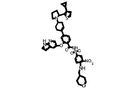 O=C(NS(=O)(=O)c1ccc(NCC2CCOCC2)c([N+](=O)[O-])c1)c1ccc(C2=CCC(N3CCCC3c3sccc3C3CC3)CC2)cc1Oc1cnc2[nH]ccc2c1